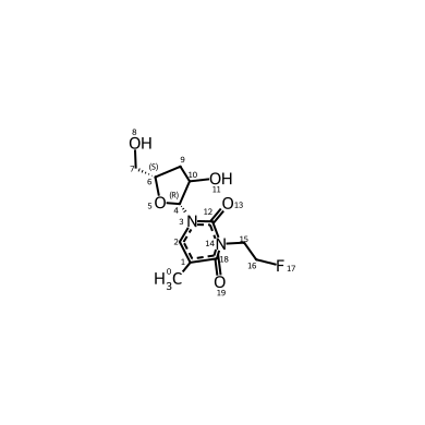 Cc1cn([C@@H]2O[C@H](CO)CC2O)c(=O)n(CCF)c1=O